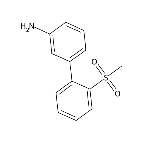 CS(=O)(=O)c1ccccc1-c1cccc(N)c1